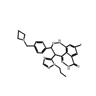 CCCn1ncnc1C1c2n[nH]c(=O)c3cc(F)cc(c23)NOC1c1ccc(CN2CCC2)cc1